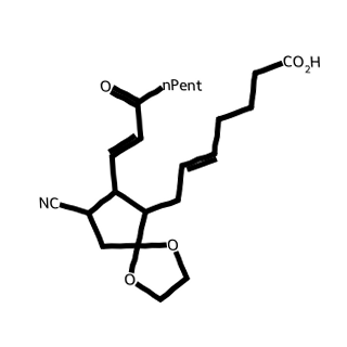 CCCCCC(=O)C=CC1C(C#N)CC2(OCCO2)C1CC=CCCCC(=O)O